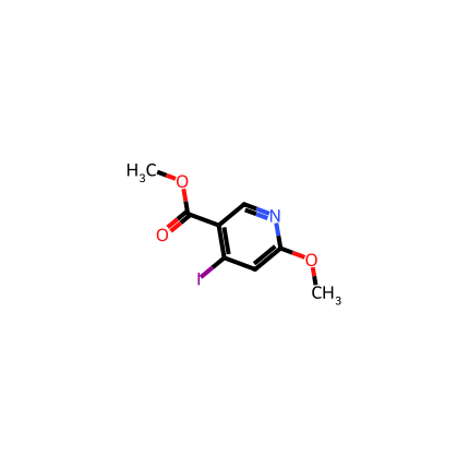 COC(=O)c1cnc(OC)cc1I